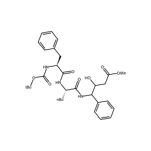 CCCC[C@H](NC(=O)[C@H](Cc1ccccc1)NC(=O)OC(C)(C)C)C(=O)NC(c1ccccc1)C(O)CC(=O)OC